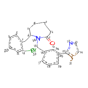 O=C1CCCCC(c2ccccc2Br)N1Cc1cccc(-c2nccs2)c1